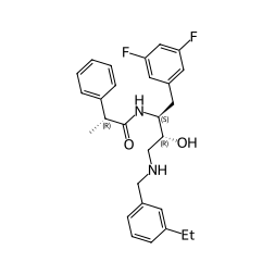 CCc1cccc(CNC[C@@H](O)[C@H](Cc2cc(F)cc(F)c2)NC(=O)[C@H](C)c2ccccc2)c1